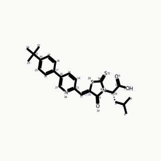 CC(C)C[C@@H](C(=O)O)N1C(=O)/C(=C/c2ccc(-c3ccc(C(C)(C)C)cc3)cn2)SC1=S